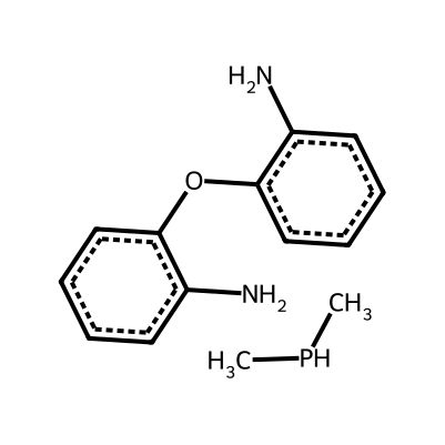 CPC.Nc1ccccc1Oc1ccccc1N